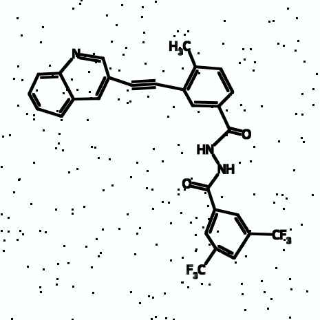 Cc1ccc(C(=O)NNC(=O)c2cc(C(F)(F)F)cc(C(F)(F)F)c2)cc1C#Cc1cnc2ccccc2c1